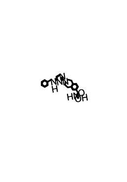 O=C(NO)c1ccc2c(c1)CCN(c1nccc(NCc3ccccc3)n1)CC2